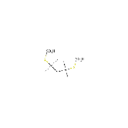 CC(C)(CC(C)(C)SS(=O)(=O)O)SS(=O)(=O)O